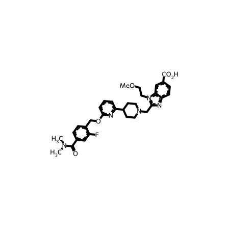 COCCn1c(CN2CCC(c3cccc(OCc4ccc(C(=O)N(C)C)cc4F)n3)CC2)nc2ccc(C(=O)O)cc21